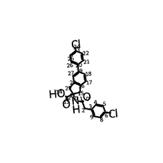 O=C(Cc1ccc(Cl)cc1)NC1(C(=O)O)Cc2ccc(-c3ccc(Cl)cc3)cc2C1